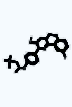 CC(C[N+](C)(C)C)Oc1ccc(N2N=C3c4cc(F)ccc4CCC3CC2=O)cc1.[I-]